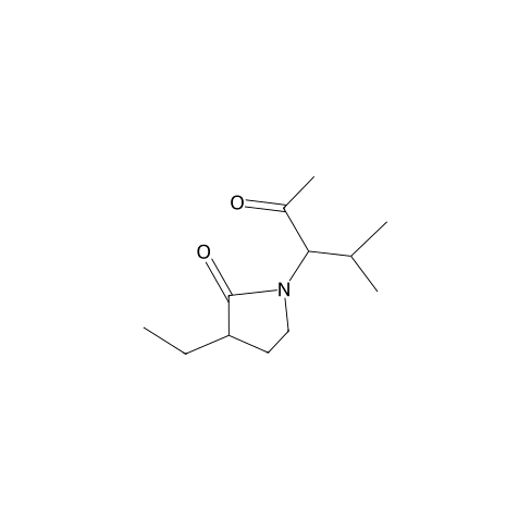 CCC1CCN(C(C(C)=O)C(C)C)C1=O